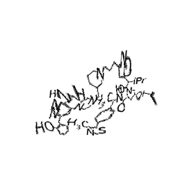 Cc1ncsc1-c1ccc([C@H](C)NC(=O)[C@@H]2C[C@@H](O)CN2C(=O)[C@@H](c2cc(CCCN3CCCC(CN4CCN5c6cc(-c7ccccc7O)nnc6NC[C@H]5C4)C3)no2)C(C)C)cc1